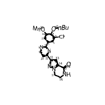 CCCCOc1c(Cl)cc(-c2nccc(-c3cc4n(n3)CCNC4=O)n2)cc1OC